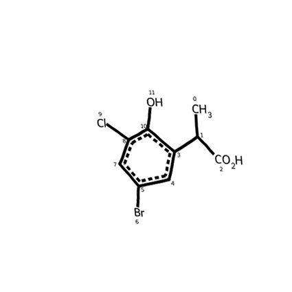 CC(C(=O)O)c1cc(Br)cc(Cl)c1O